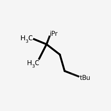 CC(C)C(C)(C)CCC(C)(C)C